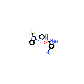 N#Cc1ccc2[nH]nc(C(=O)N[C@@H]3CCC[C@H](Nc4cc(C(F)(F)F)nc5ccccc45)C3)c2c1